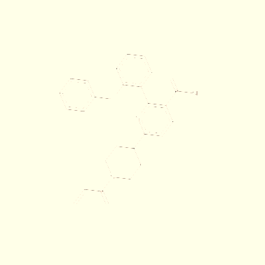 C=CC(=O)N1CCC(c2ccc(C(N)=O)c(-c3ccccc3Oc3ccccc3)n2)CC1